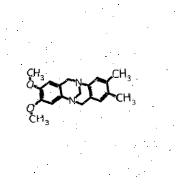 COc1cc2c(cc1OC)N1Cc3cc(C)c(C)cc3N(C2)C1